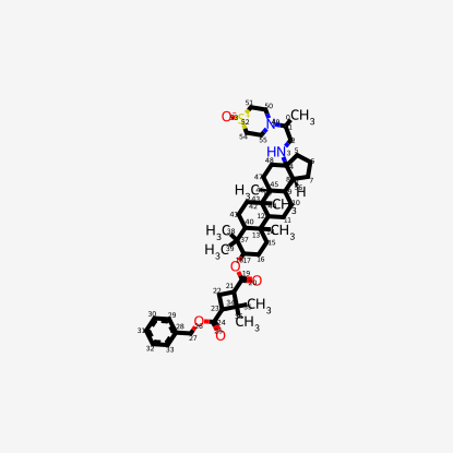 CC(CNC12CCC[C@@H]1C1CCC3C4(C)CCC(OC(=O)C5CC(C(=O)OCc6ccccc6)C5(C)C)C(C)(C)C4CCC3(C)[C@]1(C)CC2)N1CC[S+]([O-])CC1